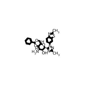 Cc1nc([C@@H]2O[C@@H]3COC(c4ccccc4)O[C@@H]3[C@H](N)[C@H]2O)n(-c2ccc3nc(C)sc3c2)n1